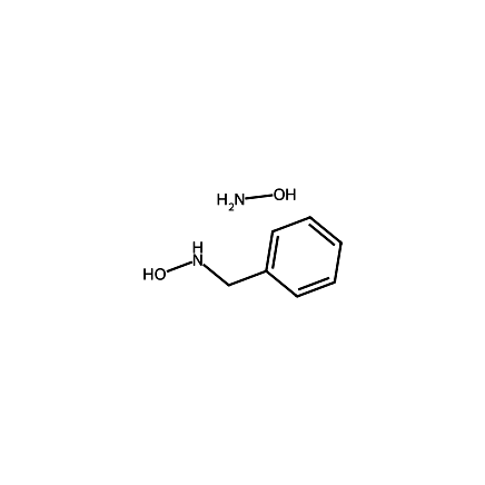 NO.ONCc1ccccc1